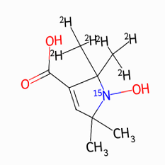 [2H]C([2H])([2H])C1(C([2H])([2H])[2H])C(C(=O)O)=CC(C)(C)[15N]1O